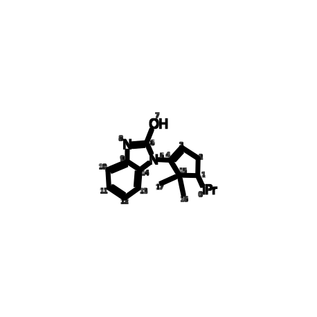 CC(C)C1CC=C(n2c(O)nc3ccccc32)C1(C)C